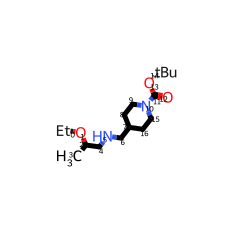 CCOC(C)CNCC1CCN(C(=O)OC(C)(C)C)CC1